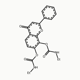 CCNC(=O)Oc1ccc2c(=O)cc(-c3ccccc3)oc2c1OC(=O)NCC